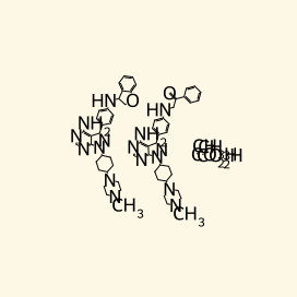 CC(=O)O.CC(=O)O.CN1CCN(C2CCC(n3nc(-c4ccc(NC5COc6ccccc65)cc4)c4c(N)ncnc43)CC2)CC1.CN1CCN(C2CCC(n3nc(-c4ccc(NCC(=O)c5ccccc5)cc4)c4c(N)ncnc43)CC2)CC1